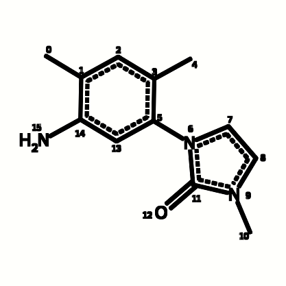 Cc1cc(C)c(-n2ccn(C)c2=O)cc1N